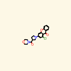 O=C(C1CCN(c2cc(Cl)c3c(=O)c4ccccc4oc3c2)C1)N1CCOCC1